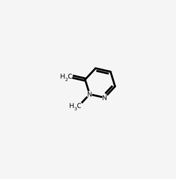 C=C1C=CC=NN1C